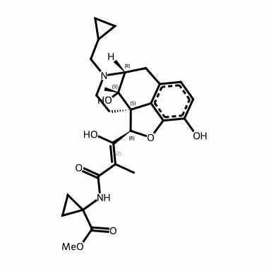 COC(=O)C1(NC(=O)/C(C)=C(\O)[C@@H]2Oc3c(O)ccc4c3[C@@]23CCN(CC2CC2)[C@H](C4)[C@@]3(C)O)CC1